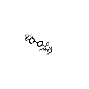 COc1ccc(-c2ccc(C(=O)Nc3nccs3)cc2)cc1